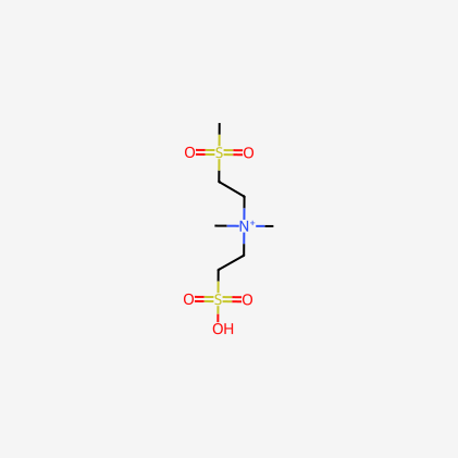 C[N+](C)(CCS(C)(=O)=O)CCS(=O)(=O)O